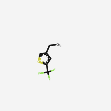 [CH2]Cc1csc(C(F)(F)F)c1